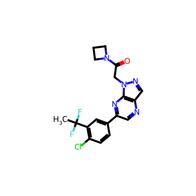 CC(F)(F)c1cc(-c2cnc3cnn(CC(=O)N4CCC4)c3n2)ccc1Cl